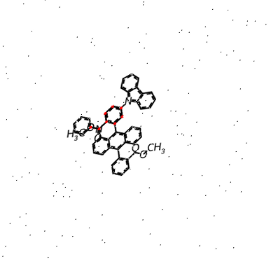 COC(=O)c1ccccc1-c1c2ccccc2c(-c2ccccc2C(=O)OC)c2c(N(c3ccccc3)c3ccc(-n4c5ccccc5c5ccccc54)cc3)cccc12